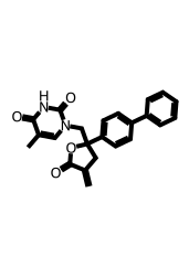 C=C1CC(Cn2cc(C)c(=O)[nH]c2=O)(c2ccc(-c3ccccc3)cc2)OC1=O